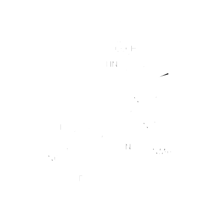 CNc1nc(-c2cc(F)c(C#N)c(F)c2)cc(N2C[C@H](C)C[C@@H](NC(=O)O)C2)n1